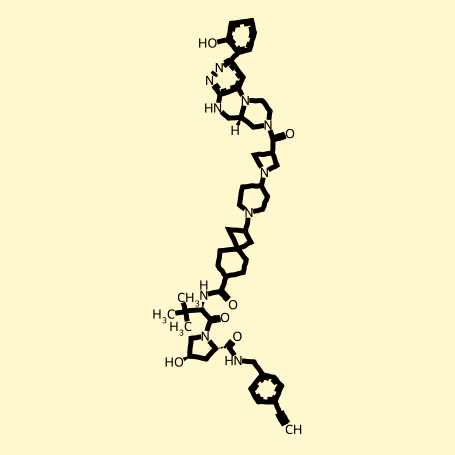 C#Cc1ccc(CNC(=O)[C@@H]2C[C@@H](O)CN2C(=O)[C@@H](NC(=O)C2CCC3(CC2)CC(N2CCC(N4CC(C(=O)N5CCN6c7cc(-c8ccccc8O)nnc7NC[C@H]6C5)C4)CC2)C3)C(C)(C)C)cc1